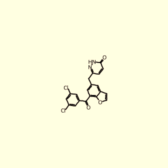 O=C(c1cc(Cl)cc(Cl)c1)c1cc(Cc2ccc(=O)[nH]n2)cc2ccoc12